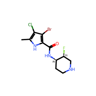 Cc1[nH]c(C(=O)N[C@@H]2CCNC[C@@H]2F)c(Br)c1Cl